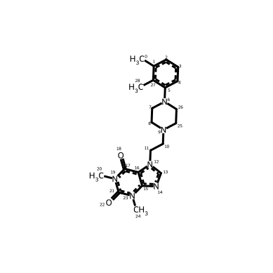 Cc1cccc(N2CCN(CCn3cnc4c3c(=O)n(C)c(=O)n4C)CC2)c1C